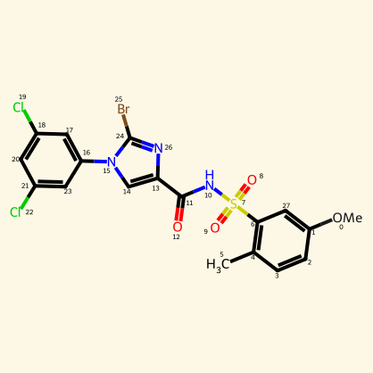 COc1ccc(C)c(S(=O)(=O)NC(=O)c2cn(-c3cc(Cl)cc(Cl)c3)c(Br)n2)c1